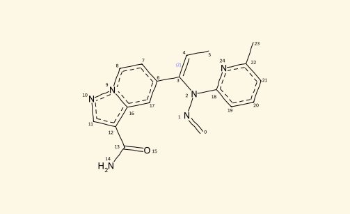 C=NN(/C(=C\C)c1ccn2ncc(C(N)=O)c2c1)c1cccc(C)n1